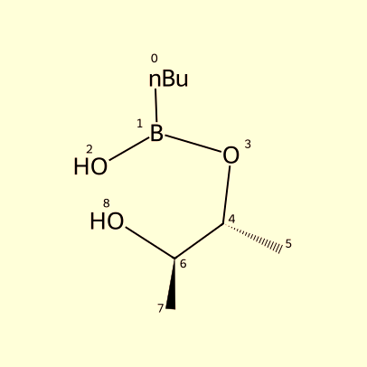 CCCCB(O)O[C@H](C)[C@@H](C)O